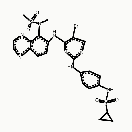 CN(c1c(Nc2nc(Nc3ccc(NS(=O)(=O)C4CC4)cc3)ncc2Br)ccc2nccnc12)S(C)(=O)=O